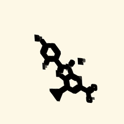 Cn1c(-c2ccc(Br)cc2F)nc2c(C3CC3)cc(C(=O)[O-])nc21.[K+]